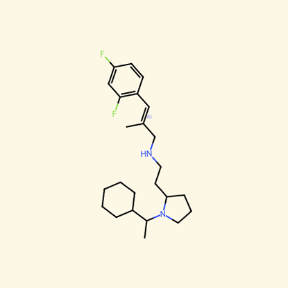 C/C(=C\c1ccc(F)cc1F)CNCCC1CCCN1C(C)C1CCCCC1